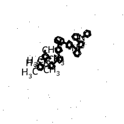 Cc1cc(C)c(B(c2cccc(-c3cccc(-c4ccc(C56CC7CC(C5)CC(c5ccc(-n8c9ccccc9c9ccc%10c(c%11ccccc%11n%10-c%10ccccc%10)c98)cc5)(C7)C6)cc4)n3)c2)c2c(C)cc(C)cc2C)c(C)c1